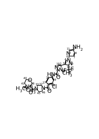 Cn1c(-c2cn(-c3ccc(N)cn3)nc2C(F)(F)F)cnc1C(=O)Nc1ccc(C(=O)N2CCN(C(=O)[C@@H]3COCC[N+]3(C)C)CC2)c(Cl)c1